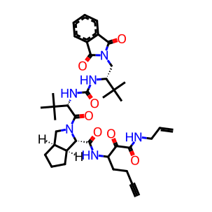 C#CCCC(NC(=O)[C@@H]1[C@H]2CCC[C@H]2CN1C(=O)[C@@H](NC(=O)N[C@H](CN1C(=O)c2ccccc2C1=O)C(C)(C)C)C(C)(C)C)C(=O)C(=O)NCC=C